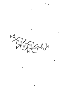 C[C@@]1(O)CC[C@H]2[C@H](CC[C@@H]3[C@@H]2CC[C@]2(C)[C@@H](c4ccno4)CC[C@@H]32)C1